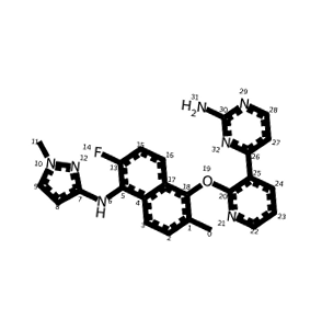 Cc1ccc2c(Nc3ccn(C)n3)c(F)ccc2c1Oc1ncccc1-c1ccnc(N)n1